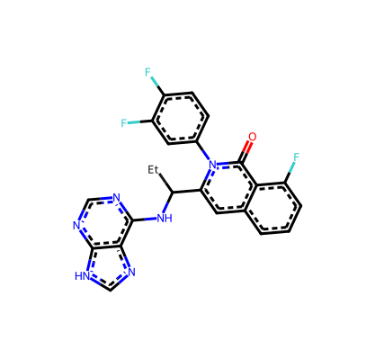 CCC(Nc1ncnc2[nH]cnc12)c1cc2cccc(F)c2c(=O)n1-c1ccc(F)c(F)c1